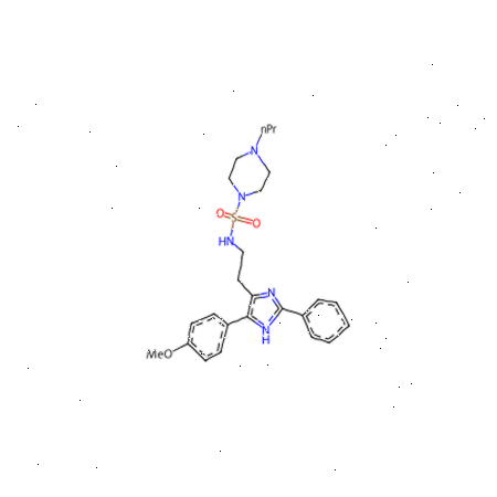 CCCN1CCN(S(=O)(=O)NCCc2nc(-c3ccccc3)[nH]c2-c2ccc(OC)cc2)CC1